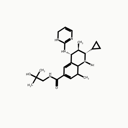 CC(=O)N1C2C(=CC(C(=O)NCC(C)(C)O)=CC2C)[C@H](NC2=NC=CCN2)[C@@H](C)[C@@H]1C1CC1